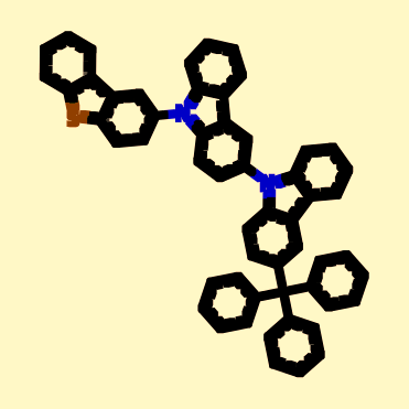 c1ccc(C(c2ccccc2)(c2ccccc2)c2ccc3c(c2)c2ccccc2n3-c2ccc3c(c2)c2ccccc2n3-c2ccc3sc4ccccc4c3c2)cc1